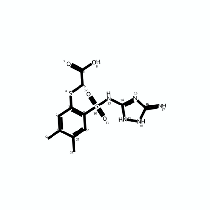 Cc1cc(SCC(=O)O)c(S(=O)(=O)Nc2nc(=N)[nH][nH]2)cc1C